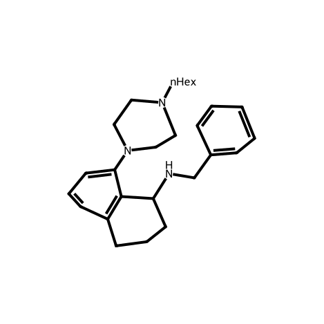 CCCCCCN1CCN(c2cccc3c2C(NCc2ccccc2)CCC3)CC1